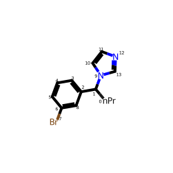 CCCC(c1cccc(Br)c1)n1ccnc1